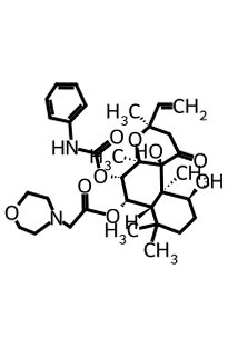 C=C[C@@]1(C)CC(=O)[C@]2(O)[C@@]3(C)[C@@H](O)CCC(C)(C)[C@@H]3[C@H](OC(=O)CN3CCOCC3)[C@H](OC(=O)Nc3ccccc3)[C@@]2(C)O1